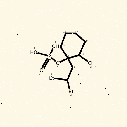 CCC(CC)CC1(OP(=O)(O)O)CCCCC1C